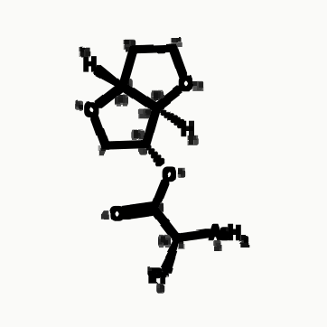 CC(C)[C@H]([AsH2])C(=O)O[C@@H]1CO[C@@H]2[CH]CO[C@H]21